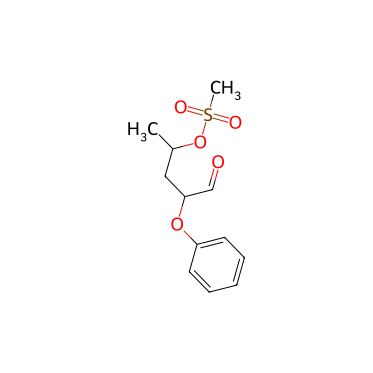 CC(CC(C=O)Oc1ccccc1)OS(C)(=O)=O